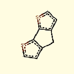 [c]1cc2c(s1)-c1s[c]cc1C2